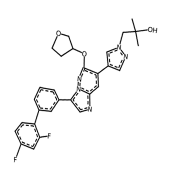 CC(C)(O)Cn1cc(-c2cc3ncc(-c4cccc(-c5ccc(F)cc5F)c4)n3nc2OC2CCOC2)cn1